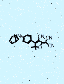 CC1(C)OC(=C(C#N)C#N)C(C#N)=C1c1ccc(NC2C3C=CC2CC3)cc1